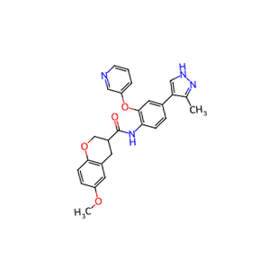 COc1ccc2c(c1)CC(C(=O)Nc1ccc(-c3c[nH]nc3C)cc1Oc1cccnc1)CO2